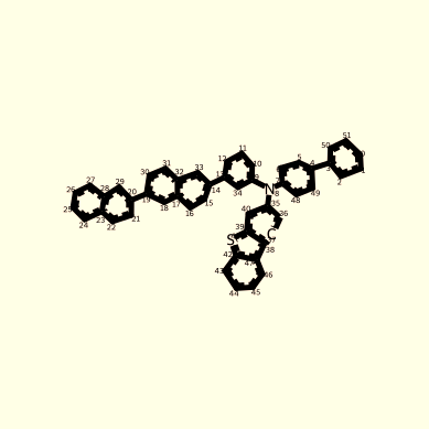 c1ccc(-c2ccc(N(c3cccc(-c4ccc5cc(-c6ccc7ccccc7c6)ccc5c4)c3)c3ccc4c(c3)sc3ccccc34)cc2)cc1